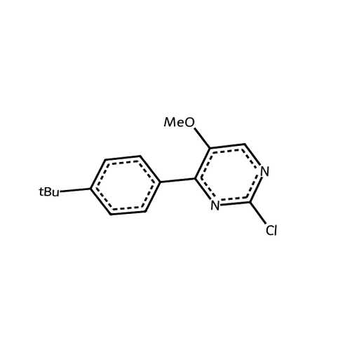 COc1cnc(Cl)nc1-c1ccc(C(C)(C)C)cc1